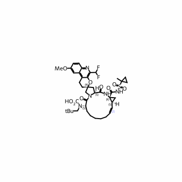 COc1ccc2nc(C(F)F)c3c(c2c1)CC[C@]1(C[C@H]2C(=O)N[C@]4(C(=O)NS(=O)(=O)C5(C)CC5)C[C@H]4/C=C\CCCCC[C@H](N(CC(C)(C)C)C(=O)O)C(=O)N2C1)O3